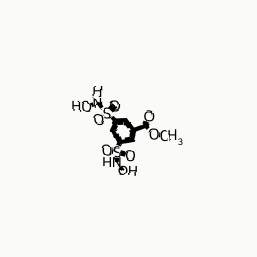 COC(=O)c1cc(S(=O)(=O)NO)cc(S(=O)(=O)NO)c1